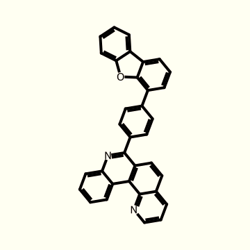 c1cnc2c(c1)ccc1c(-c3ccc(-c4cccc5c4oc4ccccc45)cc3)nc3ccccc3c12